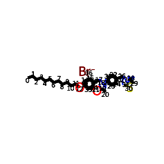 CCCCCCCCCCCCOc1ccc(CN(C(C)=O)c2ccc(C[n+]3ccsc3)cc2)cc1.[Br-]